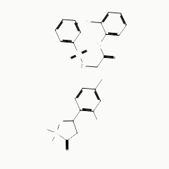 Nc1ccccc1NC(=O)[C@H](Cc1ccc(C2CC(=O)[N+]([O-])([O-])S2)c(Cl)c1)NS(=O)(=O)c1ccccc1